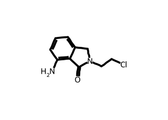 Nc1cccc2c1C(=O)N(CCCl)C2